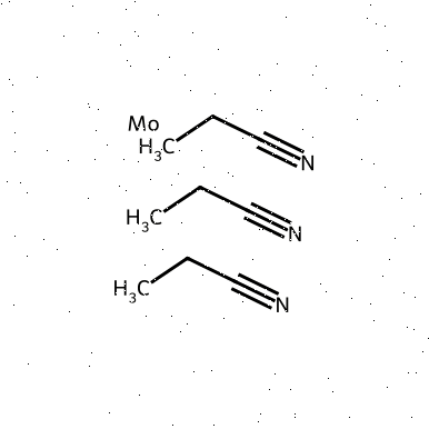 CCC#N.CCC#N.CCC#N.[Mo]